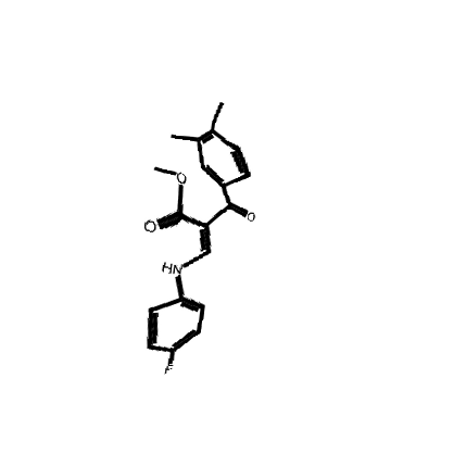 COC(=O)/C(=C\Nc1ccc(F)cc1)C(=O)c1ccc(C)c(C)c1